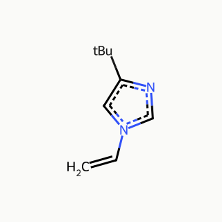 C=Cn1cnc(C(C)(C)C)c1